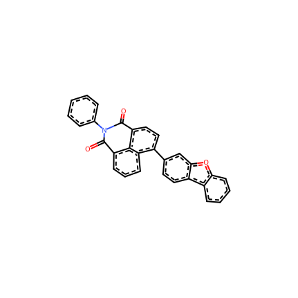 O=C1c2cccc3c(-c4ccc5c(c4)oc4ccccc45)ccc(c23)C(=O)N1c1ccccc1